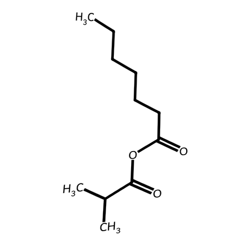 CCCCCCC(=O)OC(=O)C(C)C